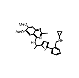 COc1cc2nc(C)nc(NC(C)c3ccc(-c4ccccc4CNC4CC4)s3)c2cc1OC